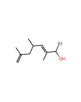 C=C(C)CC(C)C=C(C)C(O)CC